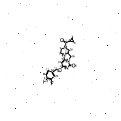 O=C(C1CC1)N1CCN2c3cc(OCc4ccc(F)c(F)c4)nc(=O)n3CC2C1